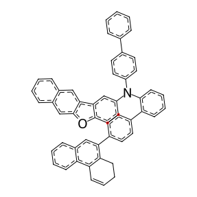 C1=Cc2c(c(-c3ccc(-c4ccccc4N(c4ccc(-c5ccccc5)cc4)c4ccc5oc6cc7ccccc7cc6c5c4)cc3)cc3ccccc23)CC1